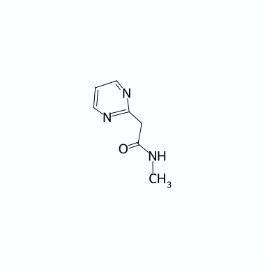 CNC(=O)Cc1ncccn1